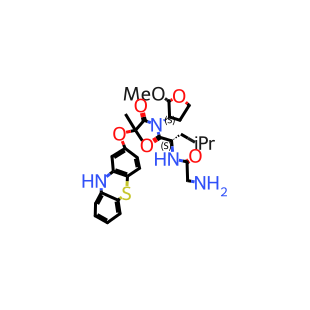 COC1OCC[C@@H]1N(C(=O)[C@H](CC(C)C)NC(=O)CN)C(=O)C(C)(C)Oc1ccc2c(c1)Nc1ccccc1S2